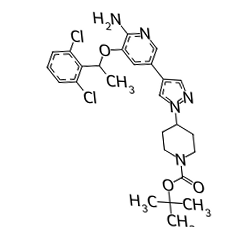 CC(Oc1cc(-c2cnn(C3CCN(C(=O)OC(C)(C)C)CC3)c2)cnc1N)c1c(Cl)cccc1Cl